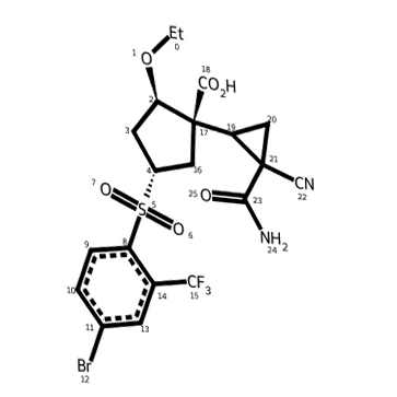 CCO[C@@H]1C[C@@H](S(=O)(=O)c2ccc(Br)cc2C(F)(F)F)C[C@@]1(C(=O)O)C1CC1(C#N)C(N)=O